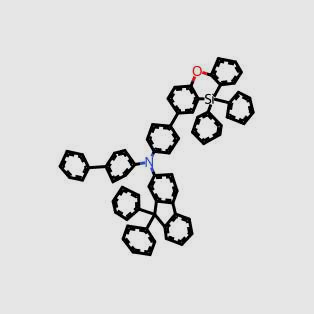 c1ccc(-c2ccc(N(c3ccc(-c4ccc5c(c4)[Si](c4ccccc4)(c4ccccc4)c4ccccc4O5)cc3)c3ccc4c(c3)C(c3ccccc3)(c3ccccc3)c3ccccc3-4)cc2)cc1